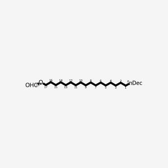 CCCCCCCCCCCCCCCCCCCCCCCCCCCOC=O